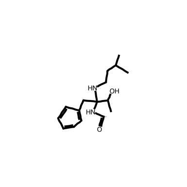 CC(C)CCNC(Cc1ccccc1)(N[C]=O)C(C)O